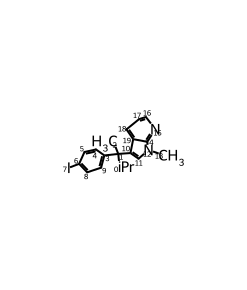 CC(C)C(C)(c1ccc(I)cc1)c1cn(C)c2ncccc12